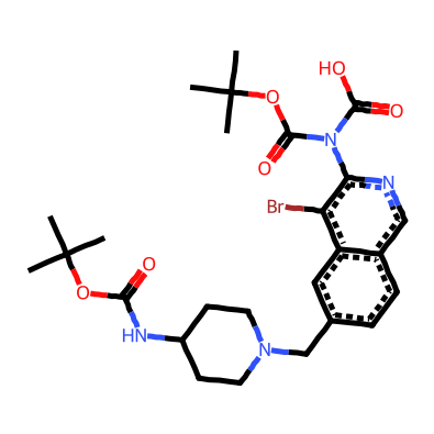 CC(C)(C)OC(=O)NC1CCN(Cc2ccc3cnc(N(C(=O)O)C(=O)OC(C)(C)C)c(Br)c3c2)CC1